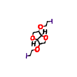 ICCO[C@H]1CO[C@H]2[C@@H]1OC[C@H]2OCCI